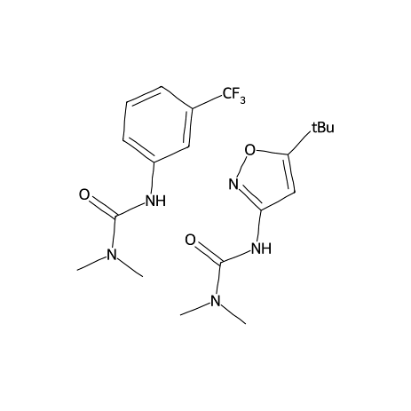 CN(C)C(=O)Nc1cc(C(C)(C)C)on1.CN(C)C(=O)Nc1cccc(C(F)(F)F)c1